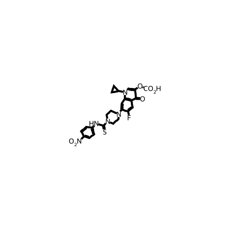 O=C(O)Oc1cn(C2CC2)c2cc(N3CCN(C(=S)Nc4ccc([N+](=O)[O-])cc4)CC3)c(F)cc2c1=O